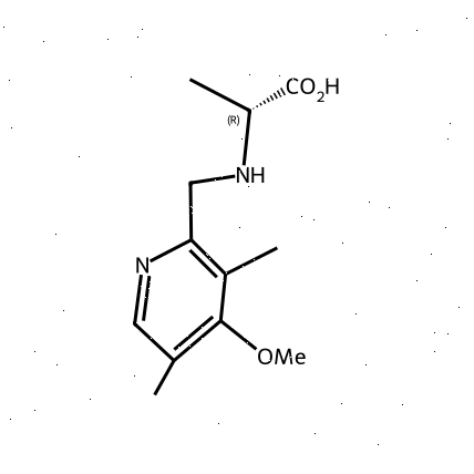 COc1c(C)cnc(CN[C@H](C)C(=O)O)c1C